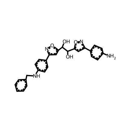 Nc1ccc(-c2cc(C(O)C(O)c3cc(-c4ccc(NCc5ccccc5)cc4)no3)on2)cc1